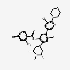 C[C@@H]1CN(c2cc(F)c(-c3cnc(N4CCOCC4)c(Cl)c3)cc2NC(=O)c2c[nH]c(=O)cc2C(F)(F)F)C[C@H](C)N1C